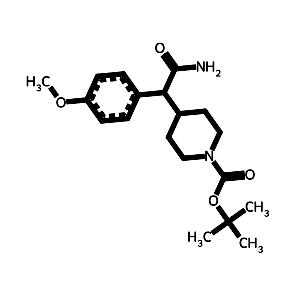 COc1ccc(C(C(N)=O)C2CCN(C(=O)OC(C)(C)C)CC2)cc1